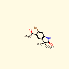 CCOC(=O)C1(C)C(=O)Nc2cc(Br)c(C(=O)OC)cc21